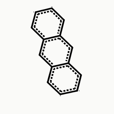 [c]1[c]cc2cc3c[c][c]cc3cc2c1